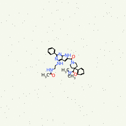 CC(=O)NCCNc1nc(-c2ccccc2)nc2[nH]c(C(=O)N3CCC(C(=O)N(C)C)(c4ccccc4)CC3)cc12